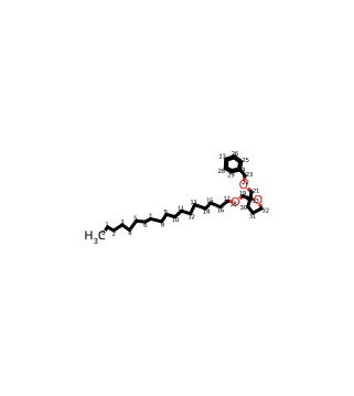 CCCCCCCCCCCCCCCCCCOCC1(COCc2ccccc2)CCCO1